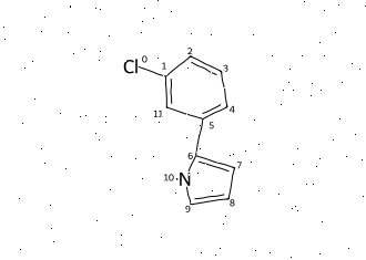 Clc1cccc(C2=CC=C[N]2)c1